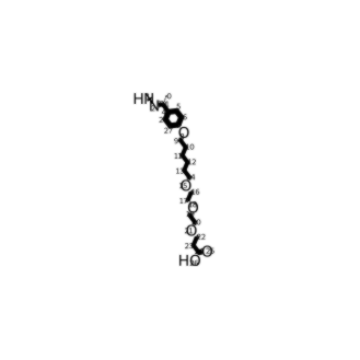 C[C@@H](N=N)c1ccc(OCCCCCCOCCOCCOCCC(=O)O)cc1